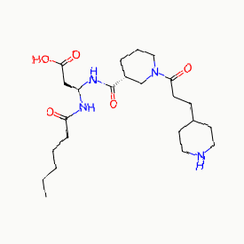 CCCCCC(=O)N[C@@H](CC(=O)O)NC(=O)[C@@H]1CCCN(C(=O)CCC2CCNCC2)C1